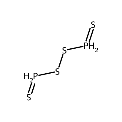 S=[PH2]SS[PH2]=S